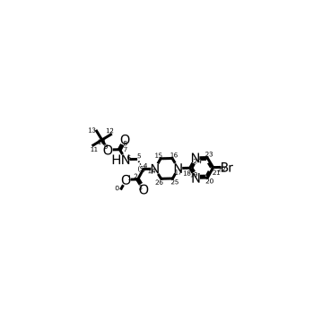 COC(=O)[C@H](CNC(=O)OC(C)(C)C)N1CCN(c2ncc(Br)cn2)CC1